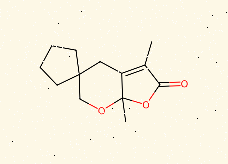 CC1=C2CC3(CCCC3)COC2(C)OC1=O